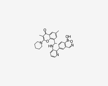 Cc1cc(C(C)Nc2cccnc2-c2ccc3c(c2)C=NOB3O)c2oc(N3CCCCC3)c(C)c(=O)c2c1